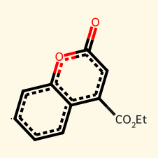 CCOC(=O)c1cc(=O)oc2c[c]ccc12